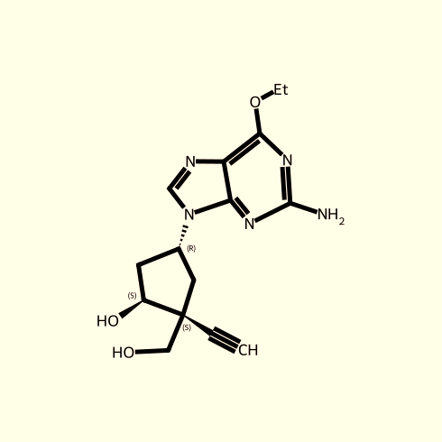 C#C[C@]1(CO)C[C@@H](n2cnc3c(OCC)nc(N)nc32)C[C@@H]1O